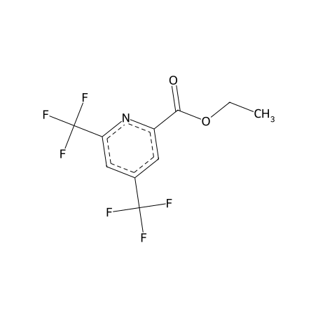 CCOC(=O)c1cc(C(F)(F)F)cc(C(F)(F)F)n1